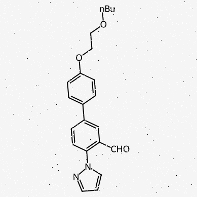 CCCCOCCOc1ccc(-c2ccc(-n3cccn3)c(C=O)c2)cc1